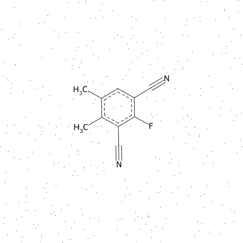 Cc1cc(C#N)c(F)c(C#N)c1C